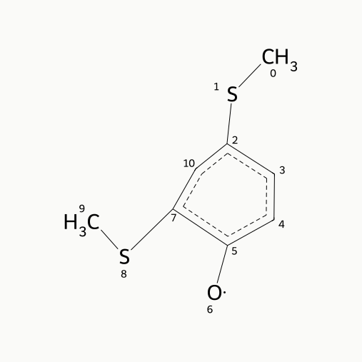 CSc1ccc([O])c(SC)c1